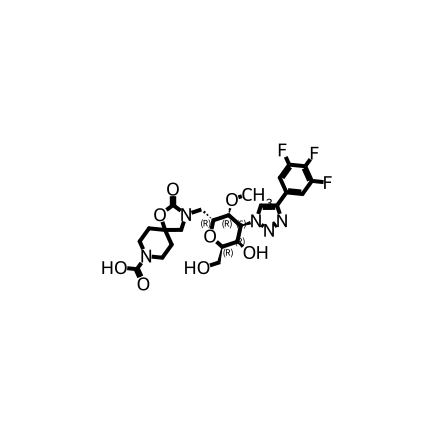 CO[C@@H]1[C@@H](n2cc(-c3cc(F)c(F)c(F)c3)nn2)[C@@H](O)[C@@H](CO)O[C@@H]1CN1CC2(CCN(C(=O)O)CC2)OC1=O